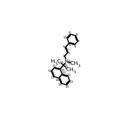 CN(C/C=C/c1ccccc1)C(C)(C)c1cccc2ccccc12